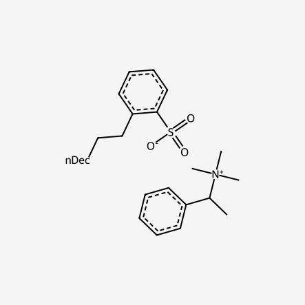 CC(c1ccccc1)[N+](C)(C)C.CCCCCCCCCCCCc1ccccc1S(=O)(=O)[O-]